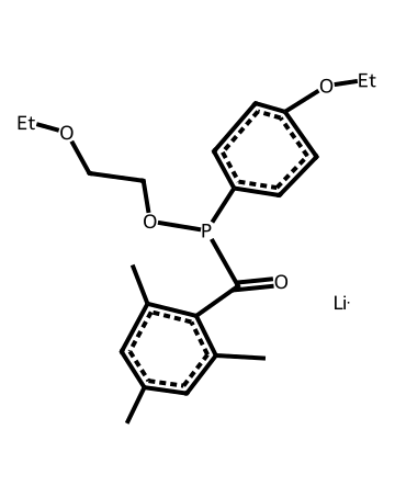 CCOCCOP(C(=O)c1c(C)cc(C)cc1C)c1ccc(OCC)cc1.[Li]